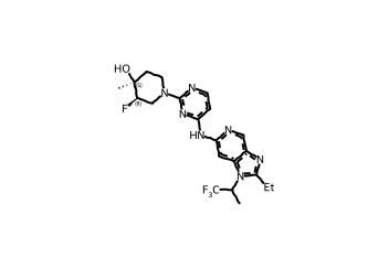 CCc1nc2cnc(Nc3ccnc(N4CC[C@](C)(O)[C@H](F)C4)n3)cc2n1C(C)C(F)(F)F